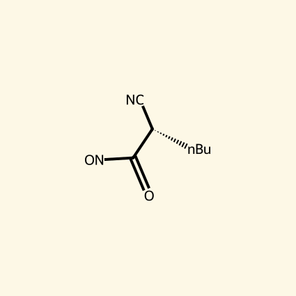 CCCC[C@@H](C#N)C(=O)N=O